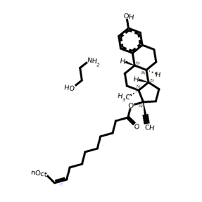 C#C[C@]1(OC(=O)CCCCCCC/C=C\CCCCCCCC)CC[C@H]2[C@@H]3CCc4cc(O)ccc4[C@H]3CC[C@@]21C.NCCO